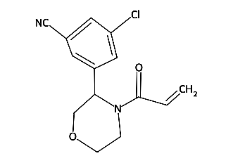 C=CC(=O)N1CCOCC1c1cc(Cl)cc(C#N)c1